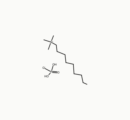 CCCCCCCCC[N+](C)(C)C.O=P([O-])(O)O